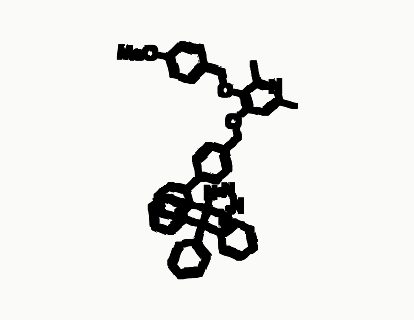 COc1ccc(COc2c(OCc3ccc(-c4ccccc4C4(C(c5ccccc5)(c5ccccc5)c5ccccc5)N=NN=N4)cc3)cc(C)nc2C)cc1